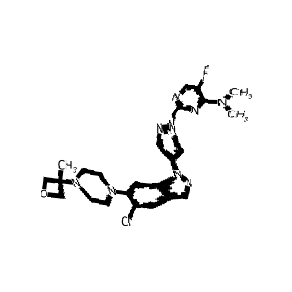 CN(C)c1nc(-n2cc(-n3ncc4cc(Cl)c(N5CCN(C6(C)COC6)CC5)cc43)cn2)ncc1F